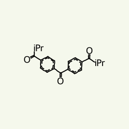 CC(C)C(=O)c1ccc(C(=O)c2ccc(C(=O)C(C)C)cc2)cc1